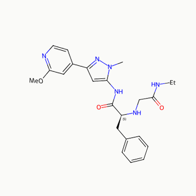 CCNC(=O)CN[C@@H](Cc1ccccc1)C(=O)Nc1cc(-c2ccnc(OC)c2)nn1C